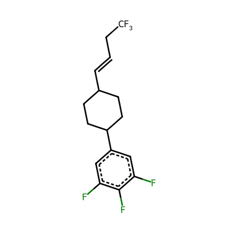 Fc1cc(C2CCC(/C=C/CC(F)(F)F)CC2)cc(F)c1F